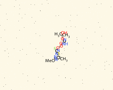 COc1cnc2c(-c3nc4cc(F)c(OCCOC(=O)Nc5ccnc(OCCC(C)(C)O)c5)nc4s3)cc(C)cc2n1